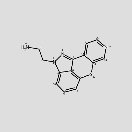 NCCn1nc2c3c(cccc31)Sc1cnccc1-2